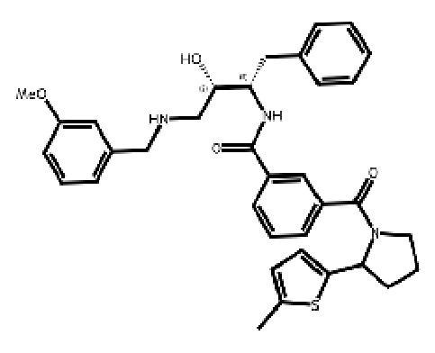 COc1cccc(CNC[C@H](O)[C@H](Cc2ccccc2)NC(=O)c2cccc(C(=O)N3CCCC3c3ccc(C)s3)c2)c1